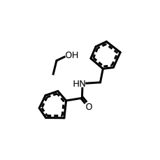 CCO.O=C(NCc1ccccc1)c1ccccc1